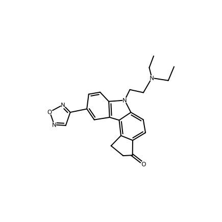 CCN(CC)CCn1c2ccc(-c3cnon3)cc2c2c3c(ccc21)C(=O)CC3